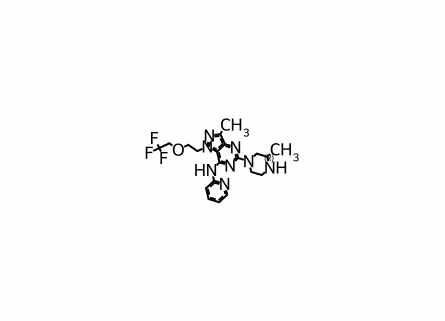 Cc1nn(CCOCC(F)(F)F)c2c(Nc3ccccn3)nc(N3CCN[C@H](C)C3)nc12